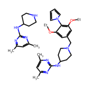 CCOc1cc(CN2CCC(Nc3nc(C)cc(C)n3)CC2)cc(OCC)c1-n1cccc1.Cc1cc(C)nc(NC2CCNCC2)n1